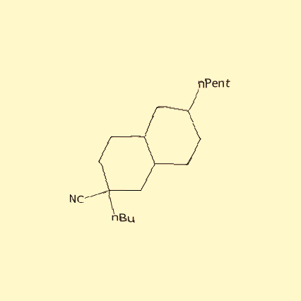 CCCCCC1CCC2CC(C#N)(CCCC)CCC2C1